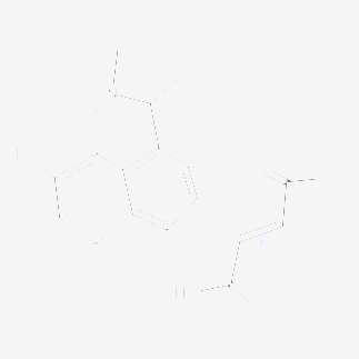 CC(c1cccc2ccc(F)cc12)N(C)C.O=C(O)/C=C/C(=O)O